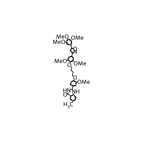 COc1cc(C2NC(=O)c3cc(C)ccc3N2)ccc1OCCCCOc1c(OC)cc(-c2cc(-c3cc(OC)c(OC)c(OC)c3)on2)cc1OC